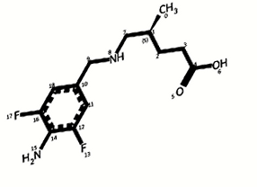 C[C@@H](CCC(=O)O)CNCc1cc(F)c(N)c(F)c1